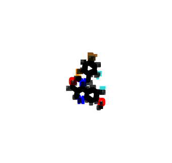 COc1cc2ncc3c(c2cc1F)N1Cc2c(F)cc(Br)cc2P=C1OC3